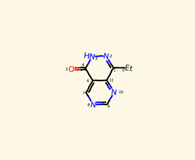 CCc1n[nH]c(=O)c2cncnc12